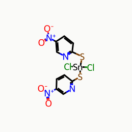 O=[N+]([O-])c1ccc([S][Sn]([Cl])([Cl])[S]c2ccc([N+](=O)[O-])cn2)nc1